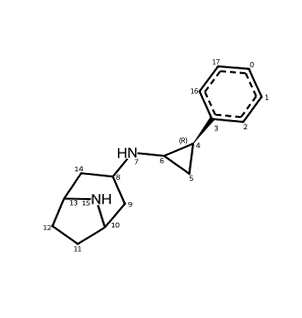 c1ccc([C@H]2CC2NC2CC3CCC(C2)N3)cc1